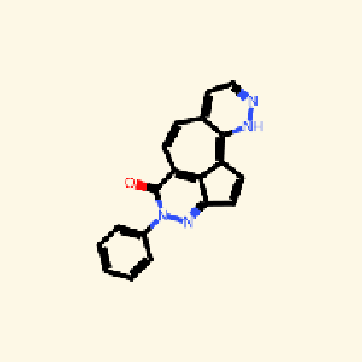 O=c1c2ccc3c(c4ccc(nn1-c1ccccc1)c2-4)NN=CC=3